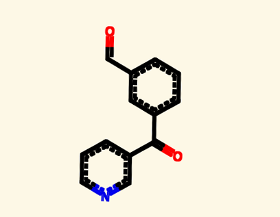 O=Cc1cccc(C(=O)c2cccnc2)c1